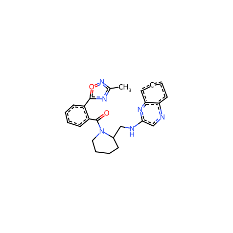 Cc1noc(-c2ccccc2C(=O)N2CCCCC2CNc2cnc3ccccc3n2)n1